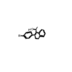 CC(O)C1=C(c2ccc(Br)cc2)CCc2ccccc21